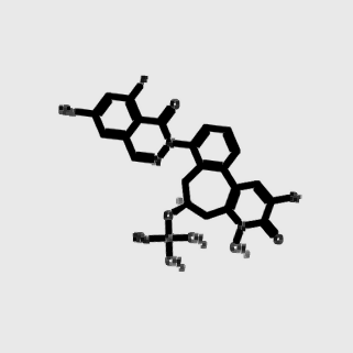 Cn1c2c(cc(Br)c1=O)-c1cccc(-n3ncc4cc(C(C)(C)C)cc(F)c4c3=O)c1C[C@H](O[Si](C)(C)C(C)(C)C)C2